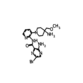 COCC1(N)CCN(c2cccnc2NC(=O)c2nc(Br)cnc2N)CC1